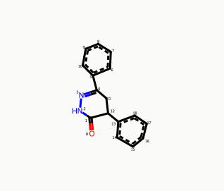 O=C1NN=C(c2ccccc2)CC1c1ccccc1